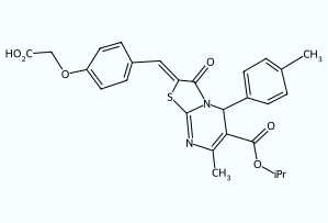 CC1=C(C(=O)OC(C)C)C(c2ccc(C)cc2)n2c(s/c(=C\c3ccc(OCC(=O)O)cc3)c2=O)=N1